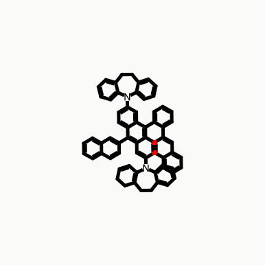 C1=CC2=C(CC1)CCc1ccccc1N2c1ccc2c(-c3ccccc3-c3ccc4ccccc4c3)c3cc(N4c5ccccc5CCc5ccccc54)ccc3c(-c3ccc4ccccc4c3)c2c1